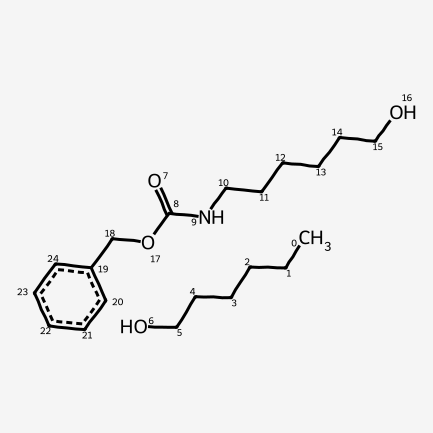 CCCCCCO.O=C(NCCCCCCO)OCc1ccccc1